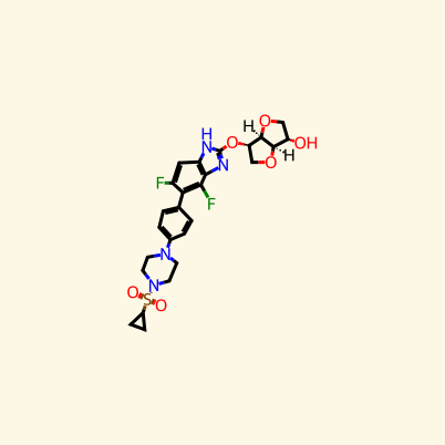 O=S(=O)(C1CC1)N1CCN(c2ccc(-c3c(F)cc4[nH]c(O[C@@H]5CO[C@H]6[C@@H]5OC[C@H]6O)nc4c3F)cc2)CC1